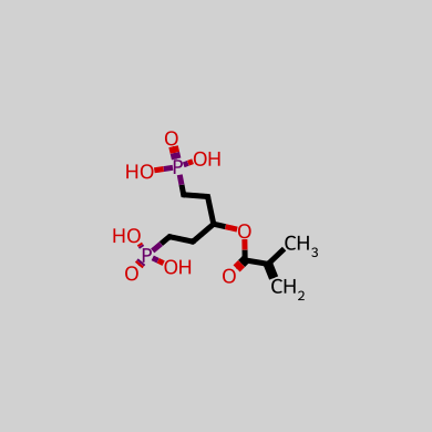 C=C(C)C(=O)OC(CCP(=O)(O)O)CCP(=O)(O)O